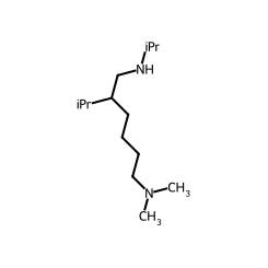 CC(C)NCC(CCCCN(C)C)C(C)C